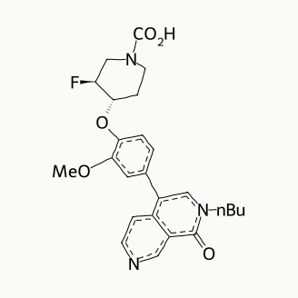 CCCCn1cc(-c2ccc(O[C@H]3CCN(C(=O)O)C[C@@H]3F)c(OC)c2)c2ccncc2c1=O